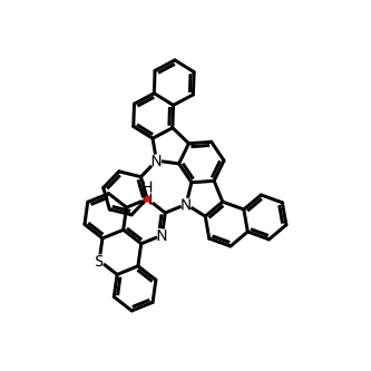 C1=CC2NC(n3c4ccc5ccccc5c4c4ccc5c6c7ccccc7ccc6n(-c6ccccc6)c5c43)=NC3=C2C(=C1)Sc1ccccc13